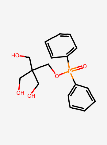 O=P(OCC(CO)(CO)CO)(c1ccccc1)c1ccccc1